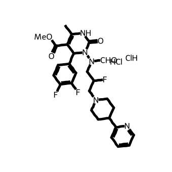 COC(=O)C1=C(C)NC(=O)N(N(C=O)CC(F)CN2CCC(c3ccccn3)CC2)C1c1ccc(F)c(F)c1.Cl.Cl